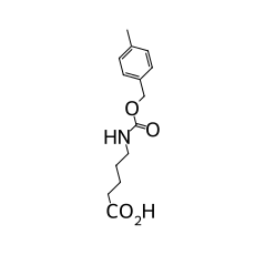 Cc1ccc(COC(=O)NCCCCC(=O)O)cc1